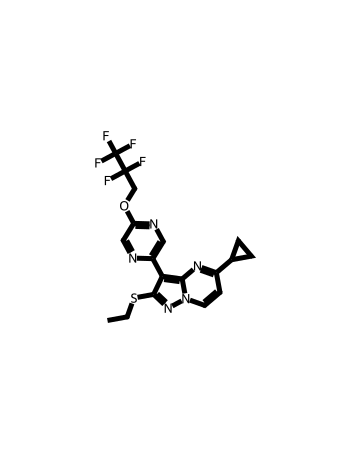 CCSc1nn2ccc(C3CC3)nc2c1-c1cnc(OCC(F)(F)C(F)(F)F)cn1